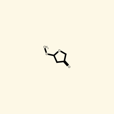 COC1CC(=O)CO1